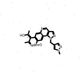 COc1cc2c(cc1/C(C(C)=N)=C(\C)O)ncc1cnn(Cc3cnn(C)c3)c12